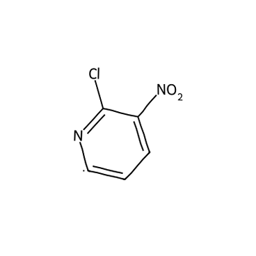 O=[N+]([O-])c1cc[c]nc1Cl